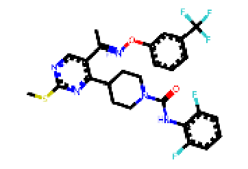 CSc1ncc(/C(C)=N/Oc2cccc(C(F)(F)F)c2)c(C2CCN(C(=O)Nc3c(F)cccc3F)CC2)n1